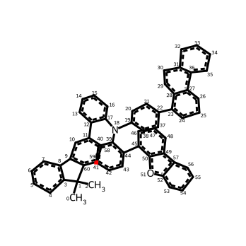 CC1(C)c2ccccc2-c2cc(-c3ccccc3N(c3ccc(-c4cccc5c4ccc4ccccc45)cc3)c3ccccc3-c3cccc4c3oc3ccccc34)ccc21